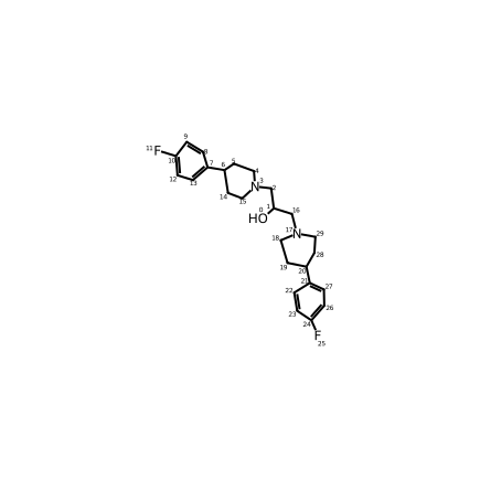 OC(CN1CCC(c2ccc(F)cc2)CC1)CN1CCC(c2ccc(F)cc2)CC1